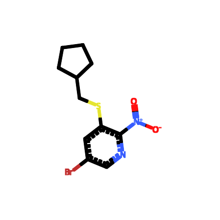 O=[N+]([O-])c1ncc(Br)cc1SCC1CCCC1